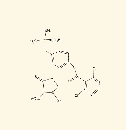 CC(=O)N1CCC(=S)[C@H]1C(=O)O.C[C@](N)(Cc1ccc(OC(=O)c2c(Cl)cccc2Cl)cc1)C(=O)O